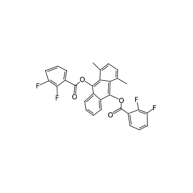 Cc1ccc(C)c2c(OC(=O)c3cccc(F)c3F)c3ccccc3c(OC(=O)c3cccc(F)c3F)c12